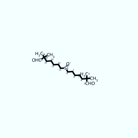 CC(C)(C=O)CCCCC[S+]([O-])CCCCCC(C)(C)C=O